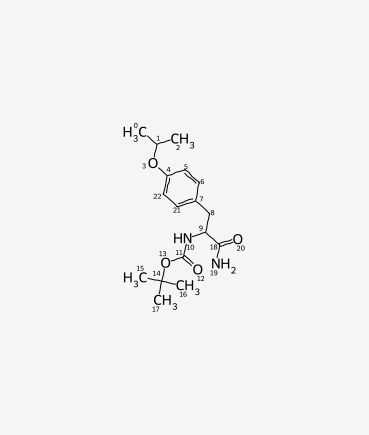 CC(C)Oc1ccc(CC(NC(=O)OC(C)(C)C)C(N)=O)cc1